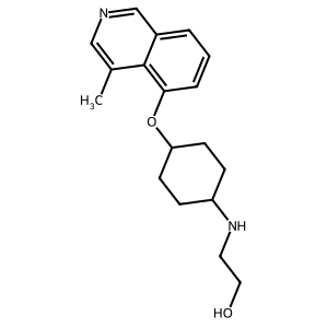 Cc1cncc2cccc(OC3CCC(NCCO)CC3)c12